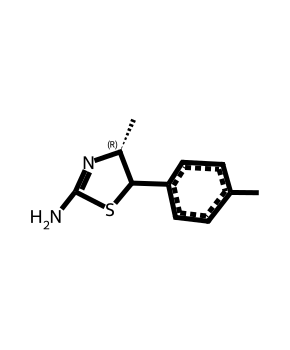 Cc1ccc(C2SC(N)=N[C@@H]2C)cc1